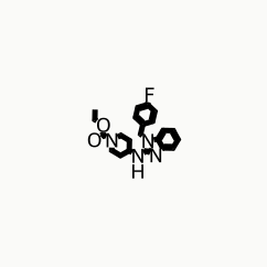 CCOC(=O)N1CCC(Nc2nc3ccccc3n2Cc2ccc(F)cc2)CC1